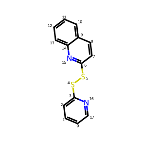 c1ccc(SSc2ccc3ccccc3n2)nc1